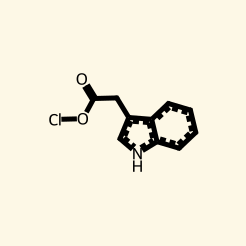 O=C(Cc1c[nH]c2ccccc12)OCl